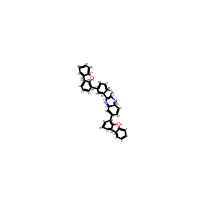 c1ccc2c(c1)oc1c(-c3ccc4nc5sc6ccc(-c7cccc8c7oc7ccccc78)cc6c5nc4c3)cccc12